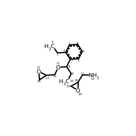 CCc1ccccc1C(CC)OCC1CO1.NCC1CO1